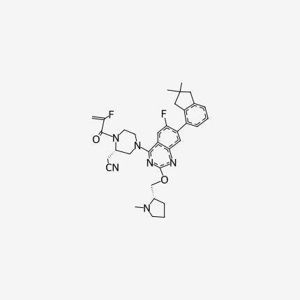 C=C(F)C(=O)N1CCN(c2nc(OC[C@@H]3CCCN3C)nc3cc(-c4cccc5c4CC(C)(C)C5)c(F)cc23)C[C@@H]1CC#N